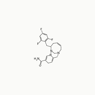 NC(=O)C1=CN2C(=CC1)CN1CC=CCC(Cc3c(F)cc(F)cc3F)N2C1